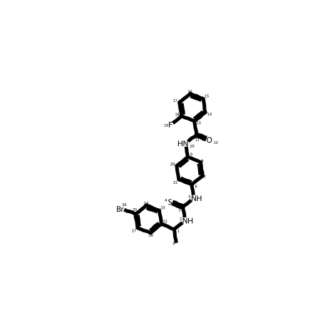 CC(NC(=S)Nc1ccc(NC(=O)c2ccccc2F)cc1)c1ccc(Br)cc1